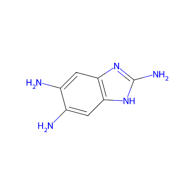 Nc1nc2cc(N)c(N)cc2[nH]1